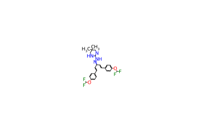 CC1(C)CN=C(NN=C(/C=C/c2ccc(OC(F)F)cc2)/C=C/c2ccc(OC(F)F)cc2)NC1